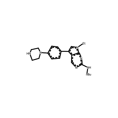 CCCCNc1ncc2c(-c3ccc(N4CCNCC4)cc3)cn(CC)c2n1